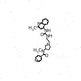 Cc1cc(NC(=O)NCCN2CCC(N(C)C(=O)c3ccncc3)C2)c2ccccc2n1